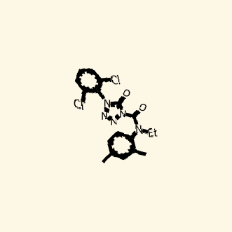 CCN(C(=O)n1nnn(-c2c(Cl)cccc2Cl)c1=O)c1ccc(C)cc1C